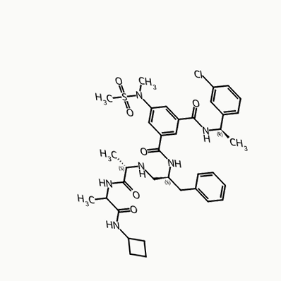 CC(NC(=O)[C@H](C)NC[C@H](Cc1ccccc1)NC(=O)c1cc(C(=O)N[C@H](C)c2cccc(Cl)c2)cc(N(C)S(C)(=O)=O)c1)C(=O)NC1CCC1